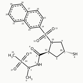 CN(NC(=O)[C@@H]1C[C@@H](S)CN1S(=O)(=O)c1ccc2ccccc2c1)S(C)(=O)=O